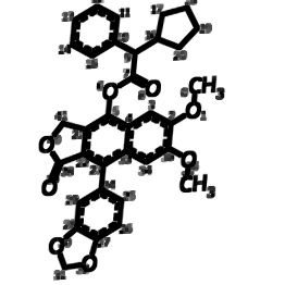 COc1cc2c(OC(=O)C(c3ccccc3)C3CCCC3)c3c(c(-c4ccc5c(c4)OCO5)c2cc1OC)C(=O)OC3